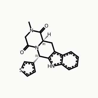 CN1CC(=O)N2[C@@H](c3ccsc3)c3[nH]c4ccccc4c3C[C@@H]2C1=O